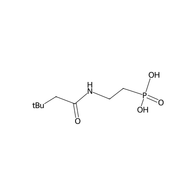 CC(C)(C)CC(=O)NCCP(=O)(O)O